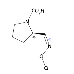 O=C(O)N1CCC[C@@H]1/C=N\OCl